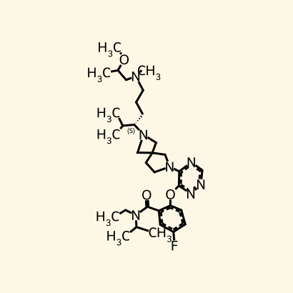 CCN(C(=O)c1cc(F)ccc1Oc1nncnc1N1CCC2(C1)CN([C@@H](CCCN(C)CC(C)OC)C(C)C)C2)C(C)C